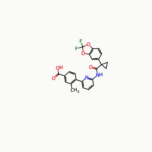 Cc1cc(C(=O)O)ccc1-c1cccc(NC(=O)C2(c3ccc4c(c3)OC(F)(F)O4)CC2)n1